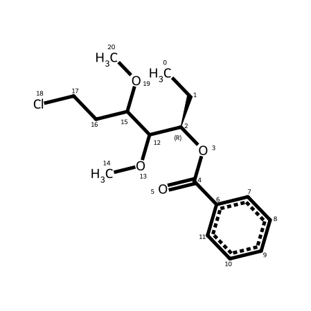 CC[C@@H](OC(=O)c1ccccc1)C(OC)C(CCCl)OC